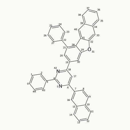 c1ccc(-c2nc(-c3ccc4ccccc4c3)cc(-c3cc(-c4ccccc4)c4c(c3)oc3cc5ccccc5cc34)n2)cc1